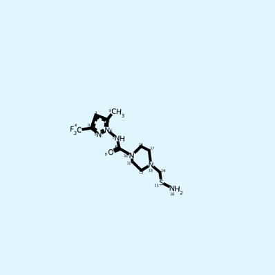 Cc1cc(C(F)(F)F)nn1NC(=O)N1CCN(CSN)CC1